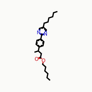 CCCCCCOC(=O)CC(C)c1ccc(-c2ncc(CCCCCC)cn2)cc1